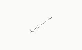 CCCCCCCC(=O)N/N=C/CC(C)C